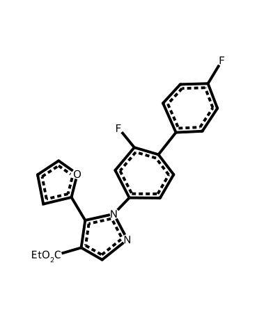 CCOC(=O)c1cnn(-c2ccc(-c3ccc(F)cc3)c(F)c2)c1-c1ccco1